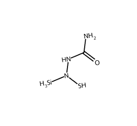 NC(=O)NN([SiH3])S